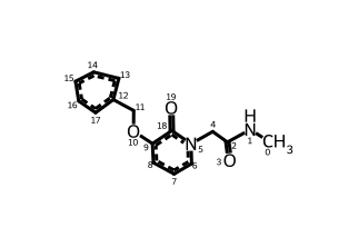 CNC(=O)Cn1cccc(OCc2ccccc2)c1=O